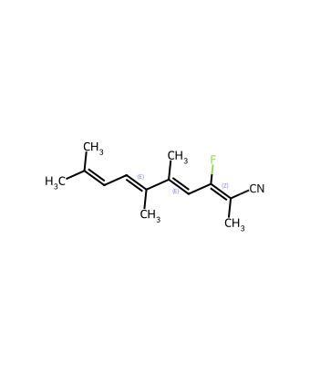 CC(C)=C/C=C(C)/C(C)=C/C(F)=C(\C)C#N